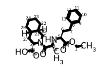 CCOC(=O)[C@H](CCc1ccccc1)N[C@@H](C)C(=O)N1C[C@H]2CCCC[C@H]2C[C@H]1C(=O)O